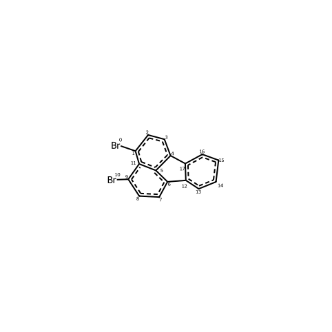 Brc1ccc2c3c(ccc(Br)c13)-c1ccccc1-2